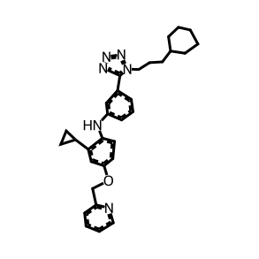 c1ccc(COc2ccc(Nc3cccc(-c4nnnn4CCCC4CCCCC4)c3)c(C3CC3)c2)nc1